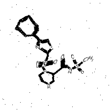 CS(=O)(=O)NC(=O)C1CNCCN1S(=O)(=O)c1nc(-c2ccccc2)cs1